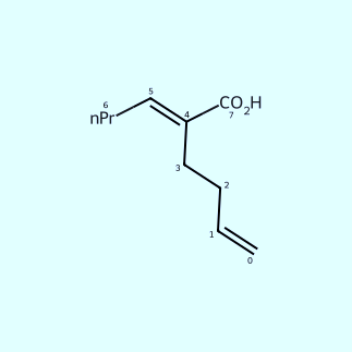 C=CCCC(=CCCC)C(=O)O